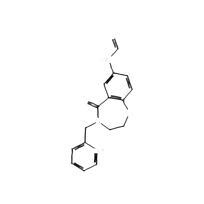 O=CNc1ccc2c(c1)C(=O)N(Cc1ccccn1)CCO2